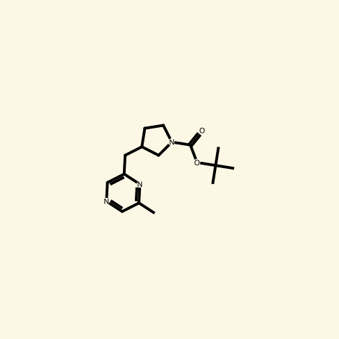 Cc1cncc(CC2CCN(C(=O)OC(C)(C)C)C2)n1